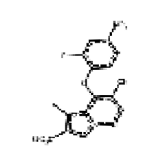 CCOC(=O)c1cn2ncc(C#N)c(Oc3ccc([N+](=O)[O-])cc3F)c2c1C